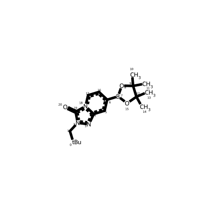 CC(C)(C)Cn1nc2cc(B3OC(C)(C)C(C)(C)O3)ccn2c1=O